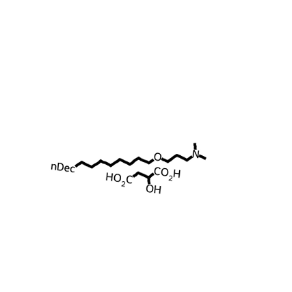 CCCCCCCCCCCCCCCCCCOCCCN(C)C.O=C(O)CC(O)C(=O)O